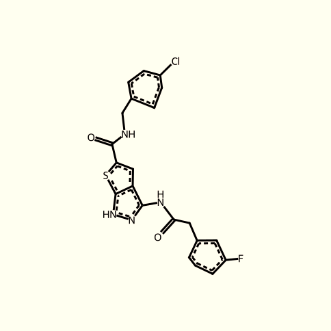 O=C(Cc1cccc(F)c1)Nc1n[nH]c2sc(C(=O)NCc3ccc(Cl)cc3)cc12